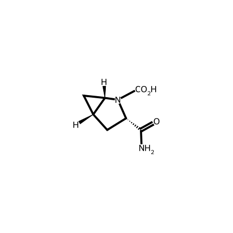 NC(=O)[C@@H]1C[C@@H]2C[C@@H]2N1C(=O)O